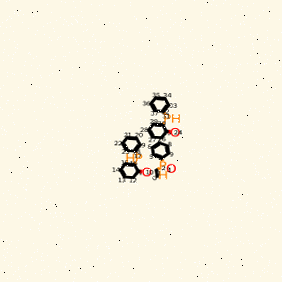 CC[PH](=O)c1ccccc1.O=C1CC=CC=C1Pc1ccccc1.O=C1CC=CC=C1Pc1ccccc1